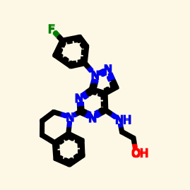 OCCNc1nc(N2CCCc3ccccc32)nc2c1cnn2-c1ccc(F)cc1